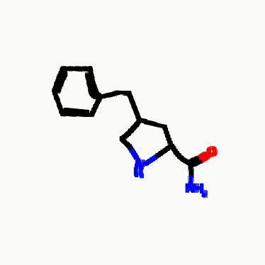 NC(=O)C1CC(Cc2ccccc2)CN1